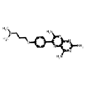 CN(C)CCCOc1ccc(-c2nc3c(N)nc(N)nc3nc2N)cc1